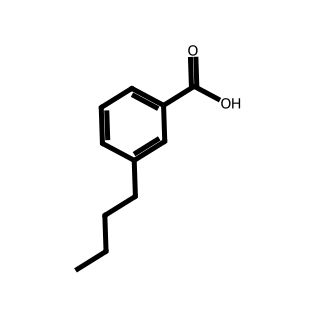 CCCCc1cccc(C(=O)O)c1